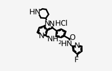 Cl.Nc1nccc2c1c(-c1ccc(C(=O)Nc3cc(F)ccn3)cc1)nn2C1CCCNC1